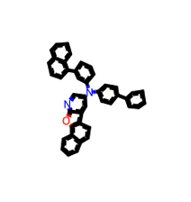 c1ccc(-c2ccc(N(c3cccc(-c4cccc5ccccc45)c3)c3cnc4oc5c6ccccc6ccc5c4c3)cc2)cc1